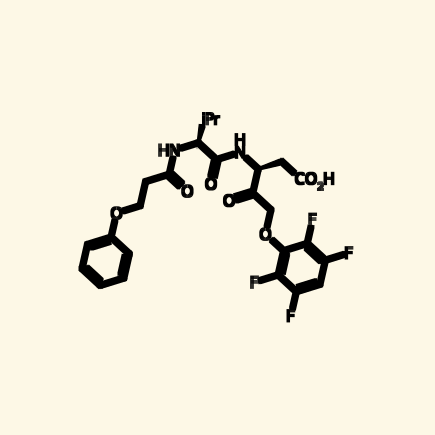 CC(C)[C@H](NC(=O)CCOc1ccccc1)C(=O)N[C@@H](CC(=O)O)C(=O)COc1c(F)c(F)cc(F)c1F